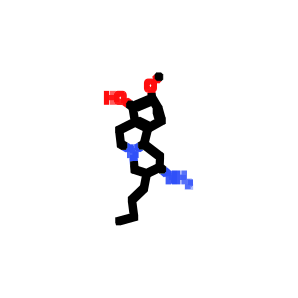 CCCCC1CN2CCc3c(ccc(OC)c3O)C2CC1N